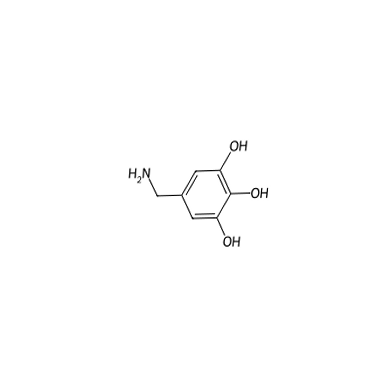 NCc1cc(O)c(O)c(O)c1